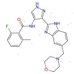 Cc1cccc(F)c1C(=O)Nc1c[nH]nc1-c1nc2cc(CN3CCOCC3)ccc2[nH]1